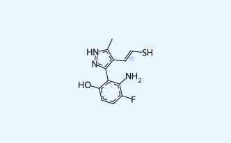 Cc1[nH]nc(-c2c(O)ccc(F)c2N)c1/C=C/S